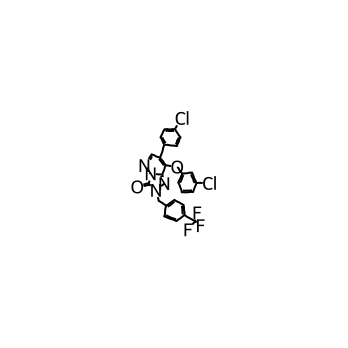 O=c1n(Cc2ccc(C(F)(F)F)cc2)nc2c(Oc3cccc(Cl)c3)c(-c3ccc(Cl)cc3)cnn12